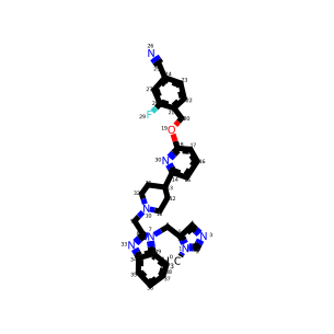 Cn1cncc1Cn1c(CN2CCC(c3cccc(OCc4ccc(C#N)cc4F)n3)CC2)nc2ccccc21